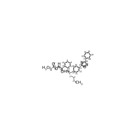 CCCC[C@H](Nc1ccccc1C(=O)NOC(=O)CC)c1ccc(-c2nc(-c3ccccc3)no2)cc1